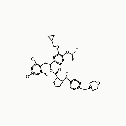 O=C(O[C@@H](Cc1c(Cl)c[n+]([O-])cc1Cl)c1ccc(OC(F)F)c(OCC2CC2)c1)[C@@H]1SCCN1C(=O)c1ccc(CN2CCOCC2)cc1